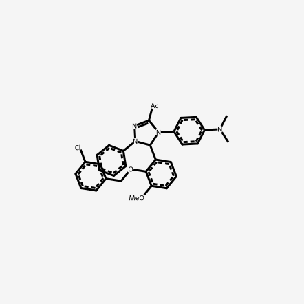 COc1cccc(C2N(c3ccccc3)N=C(C(C)=O)N2c2ccc(N(C)C)cc2)c1OCc1cccc(Cl)c1